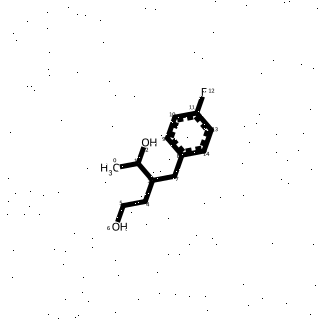 CC(O)C(CCO)Cc1ccc(F)cc1